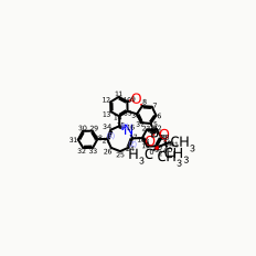 CC1(C)OB(c2ccc3oc4cccc(C5=N/C(c6ccccc6)=C\CC/C(c6ccccc6)=C\5)c4c3c2)OC1(C)C